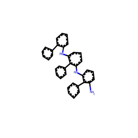 Nc1cccc(Nc2cccc(Nc3ccccc3-c3ccccc3)c2-c2ccccc2)c1-c1ccccc1